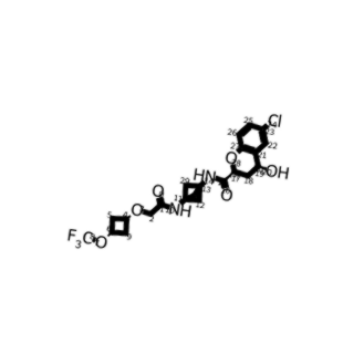 O=C(CO[C@H]1C[C@@H](OC(F)(F)F)C1)NC12CC(NC(=O)[C@@H]3C[C@H](O)c4cc(Cl)ccc4O3)(C1)C2